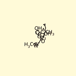 Cc1cnn(CCC(=O)N2CCC3(c4cc(O)ccc4C)CCN(CC4CC4)C(C)C3(O)CC2)c1